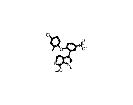 COc1nccc2c(-c3cc([N+](=O)[O-])ccc3Oc3ccc(Cl)cc3C)cn(C)c12